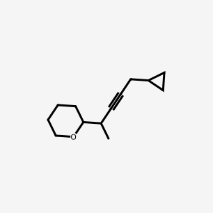 CC(C#CCC1CC1)C1CCCCO1